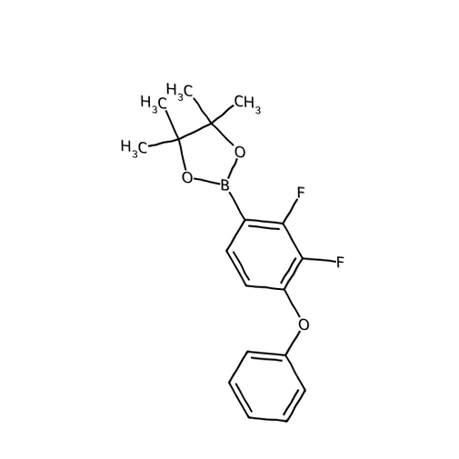 CC1(C)OB(c2ccc(Oc3ccccc3)c(F)c2F)OC1(C)C